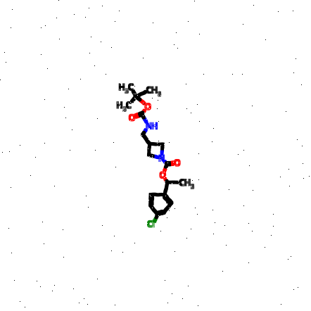 CC(OC(=O)N1CC(CNC(=O)OC(C)(C)C)C1)c1ccc(Cl)cc1